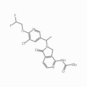 CC(c1cnc(OCC(F)F)c(Cl)c1)N1Cc2c(ccnc2NC(=O)C(C)(C)C)C1=O